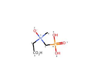 C[N+]([O-])(CC(=O)O)CP(=O)(O)O